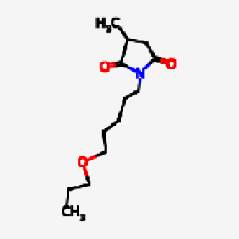 CCCOCCCCCN1C(=O)CC(C)C1=O